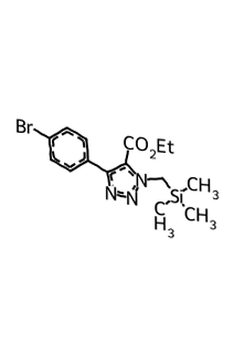 CCOC(=O)c1c(-c2ccc(Br)cc2)nnn1C[Si](C)(C)C